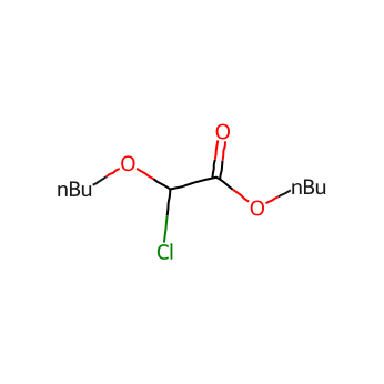 CCCCOC(=O)C(Cl)OCCCC